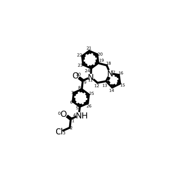 O=C(CCl)Nc1ccc(C(=O)N2Cc3cccn3Cc3ccccc32)cc1